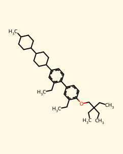 CCc1cc(-c2ccc(C3CCC(C4CCC(C)CC4)CC3)cc2CC)ccc1OCC(CC)(CC)CC